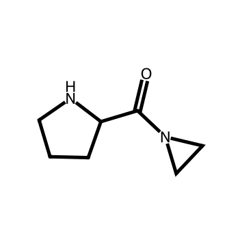 O=C(C1CCCN1)N1CC1